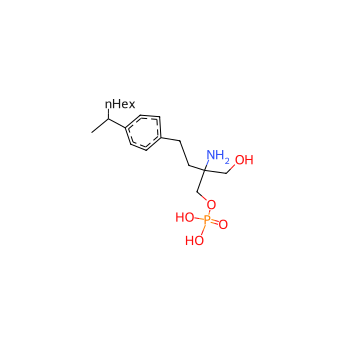 CCCCCCC(C)c1ccc(CCC(N)(CO)COP(=O)(O)O)cc1